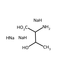 CC(O)C(N)C(=O)O.[NaH].[NaH].[NaH]